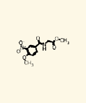 COC(=O)CNC(=O)c1ccc(OC)c([N+](=O)[O-])c1